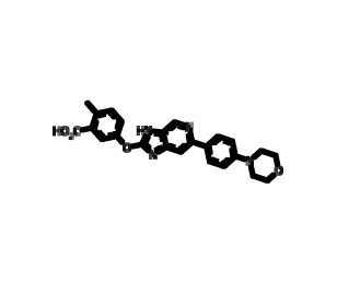 Cc1ccc(Oc2nc3cc(-c4ccc(N5CCOCC5)cc4)ncc3[nH]2)cc1C(=O)O